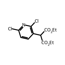 CCOC(=O)C(C(=O)OCC)c1ccc(Cl)nc1Cl